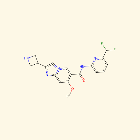 CCOc1cc2nc(C3CNC3)cn2cc1C(=O)Nc1cccc(C(F)F)n1